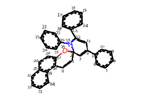 C1=CC2(C=C(c3ccccc3)C=C(c3ccccc3)N2c2ccccc2)Oc2ccc3ccccc3c21